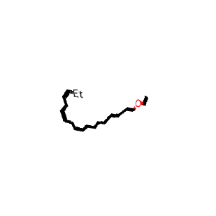 C=COCCCCCCCC/C=C\C/C=C\C/C=C\CC